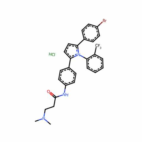 CN(C)CCC(=O)Nc1ccc(-c2ccc(-c3ccc(Br)cc3)n2-c2ccccc2C(F)(F)F)cc1.Cl